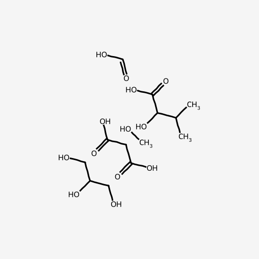 CC(C)C(O)C(=O)O.CO.O=C(O)CC(=O)O.O=CO.OCC(O)CO